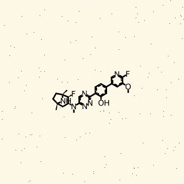 COc1cc(-c2ccc(-c3ncc(N(C)[C@H]4C[C@]5(C)CC[C@@](C)(N5)[C@H]4F)nn3)c(O)c2)cnc1F